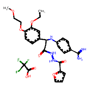 CCOc1cc(C(Nc2ccc(C(=N)N)cc2)C(=O)NNC(=O)c2ccco2)ccc1OCCOC.O=C(O)C(F)(F)F